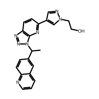 CC(c1ccc2ncccc2c1)n1nnc2ccc(-c3cnn(CCO)c3)nc21